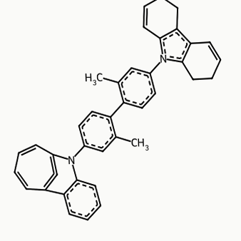 Cc1cc(N2C3=C=C(C=CC=C3)c3ccccc32)ccc1-c1ccc(-n2c3c(c4c2CCC=C4)CCC=C3)cc1C